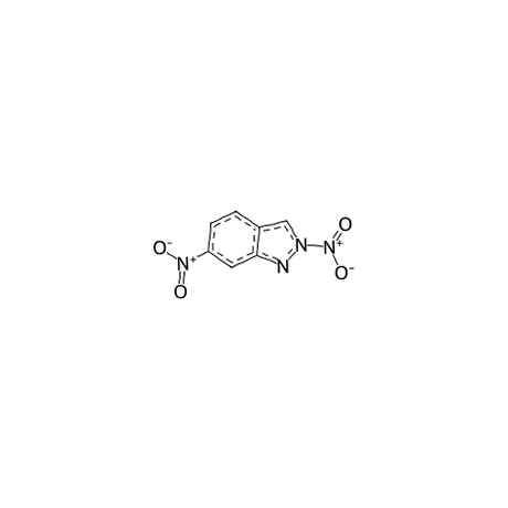 O=[N+]([O-])c1ccc2cn([N+](=O)[O-])nc2c1